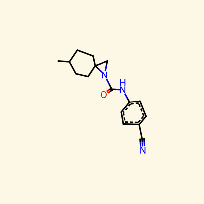 CC1CCC2(CC1)CN2C(=O)Nc1ccc(C#N)cc1